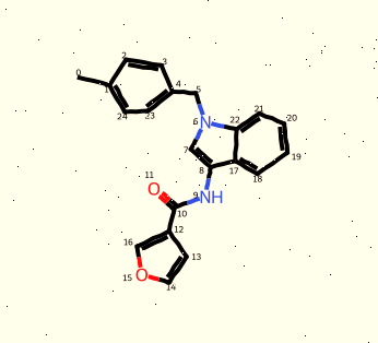 Cc1ccc(Cn2cc(NC(=O)c3ccoc3)c3ccccc32)cc1